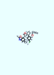 COC(=O)[C@H]1CC[C@@]2(C[C@@H](c3cc(C(F)(F)F)cc4nc(C)oc34)CO2)[C@@H]1c1ccc(F)cc1